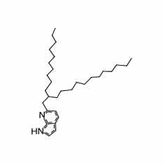 CCCCCCCCCCCCC(CCCCCCCCCC)Cc1ccc2cc[nH]c2n1